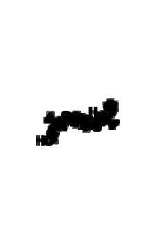 Cc1c(NC(=O)c2cc(C3CC3)c(CN3CCCCC3)cn2)cccc1-c1cccc(NC(=O)c2cc(C3CC3)c(CN3CC(C)(O)C3)cn2)c1C